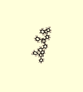 c1ccc(-c2cc(-c3ccccc3)c3c(ccc4c(-c5cccc(-c6cc(-c7cccc(-n8c9ccccc9c9ccccc98)c7)nc(-c7ccccc7)n6)c5)cccc43)n2)cc1